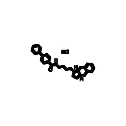 Cl.O=C(NCCCCN1CC[C@H]2Cc3ccccc3C[C@H]21)c1ccc(-c2ccccc2)cc1